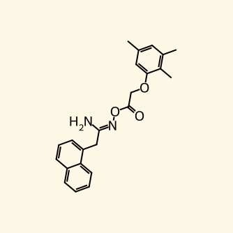 Cc1cc(C)c(C)c(OCC(=O)O/N=C(\N)Cc2cccc3ccccc23)c1